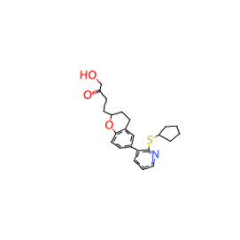 O=C(CO)CCC1CCc2cc(-c3cccnc3SC3CCCC3)ccc2O1